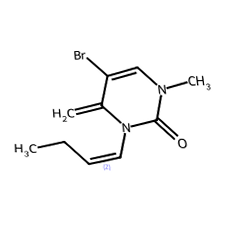 C=C1C(Br)=CN(C)C(=O)N1/C=C\CC